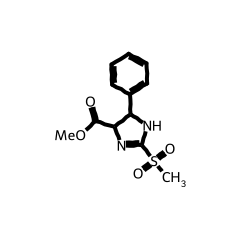 COC(=O)C1N=C(S(C)(=O)=O)NC1c1ccccc1